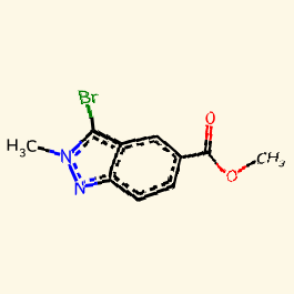 COC(=O)c1ccc2nn(C)c(Br)c2c1